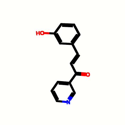 O=C(C=Cc1cccc(O)c1)c1cccnc1